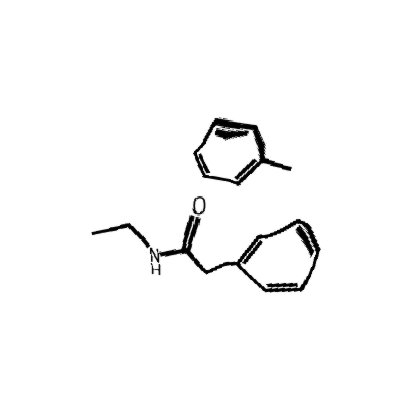 CCNC(=O)Cc1ccccc1.Cc1ccccc1